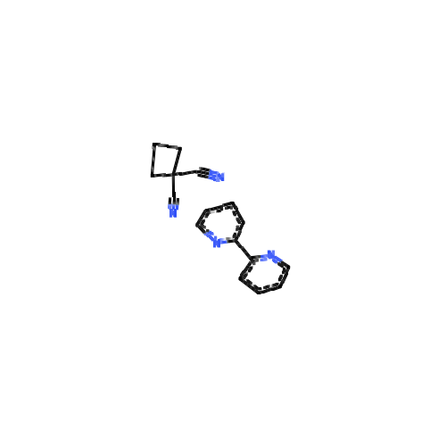 N#CC1(C#N)CCC1.c1ccc(-c2ccccn2)nc1